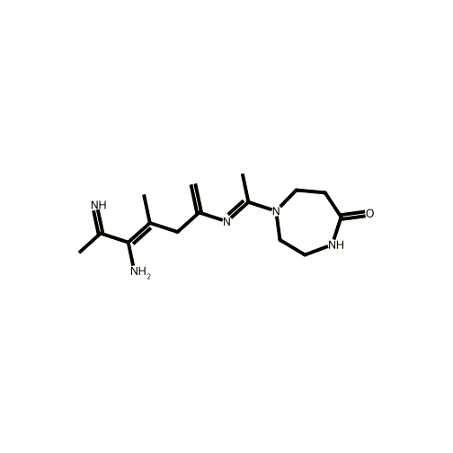 C=C(C/C(C)=C(\N)C(C)=N)/N=C(\C)N1CCNC(=O)CC1